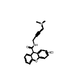 CN(C)CC#CCNC(=O)C1c2ccccc2Oc2ccccc21.Cl